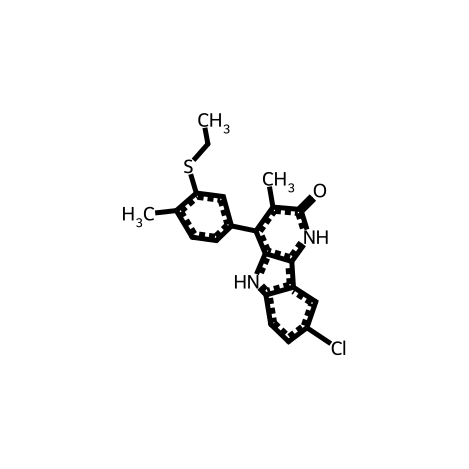 CCSc1cc(-c2c(C)c(=O)[nH]c3c2[nH]c2ccc(Cl)cc23)ccc1C